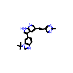 Cc1ncc(C#Cc2cnc3[nH]cc(-c4ccc5ncn(C(C)(C)C)c5c4)c3c2)cn1